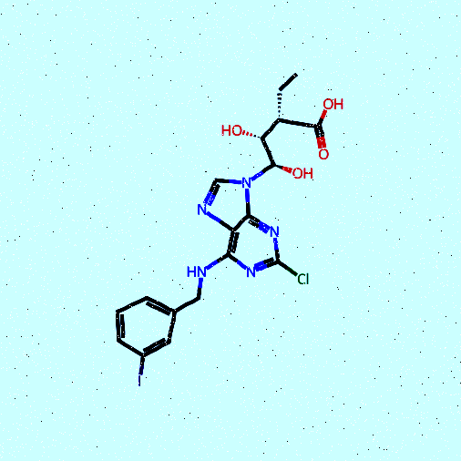 CC[C@H](C(=O)O)[C@@H](O)[C@@H](O)n1cnc2c(NCc3cccc(I)c3)nc(Cl)nc21